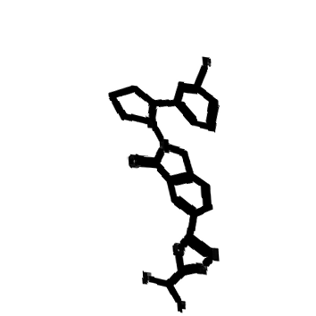 O=C1c2cc(-c3nnc(C(F)F)o3)ccc2CN1N1CCCC1c1cccc(F)c1